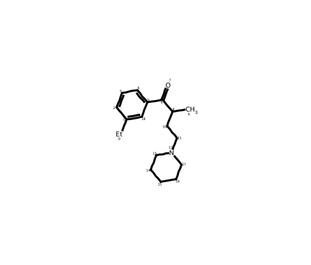 CCc1cccc(C(=O)C(C)CCN2CCCCC2)c1